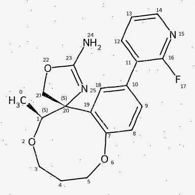 C[C@@H]1OCCCOc2ccc(-c3cccnc3F)cc2[C@]12COC(N)=N2